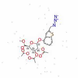 COC(=O)[C@H]1O[C@@H](Oc2cccc3sc(CN=[N+]=[N-])cc23)[C@H](OC(C)=O)[C@@H](OC(C)=O)[C@@H]1OC(C)=O